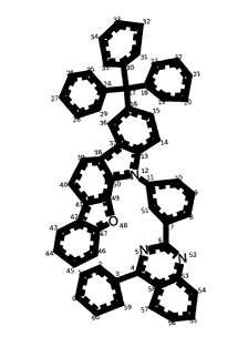 c1ccc(-c2nc(-c3cccc(-n4c5ccc(C(c6ccccc6)(c6ccccc6)c6ccccc6)cc5c5ccc6c7ccccc7oc6c54)c3)nc3ccccc23)cc1